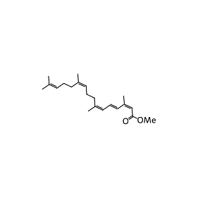 COC(=O)C=C(C)C=CC=C(C)CCC=C(C)CCC=C(C)C